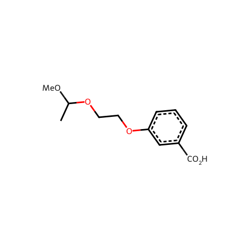 COC(C)OCCOc1cccc(C(=O)O)c1